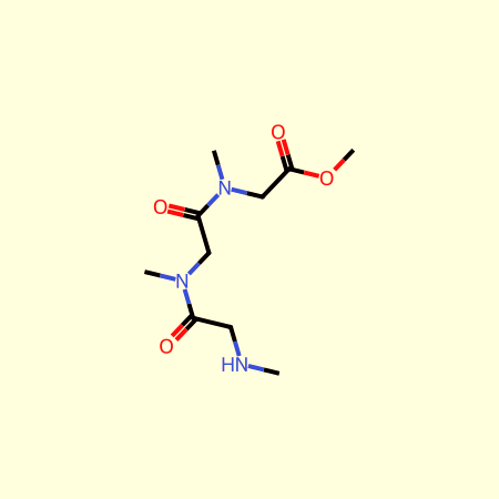 CNCC(=O)N(C)CC(=O)N(C)CC(=O)OC